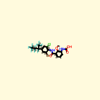 COc1c(NC(=O)O)cccc1C(=O)Nc1c(Cl)cc(C(F)(C(F)(F)F)C(F)(F)C(F)(F)F)cc1Br